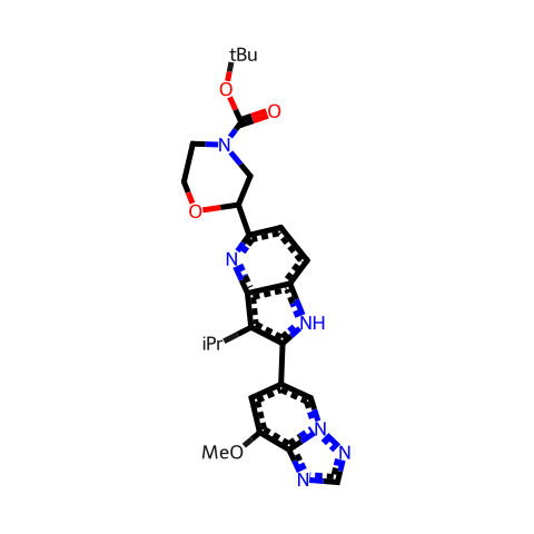 COc1cc(-c2[nH]c3ccc(C4CN(C(=O)OC(C)(C)C)CCO4)nc3c2C(C)C)cn2ncnc12